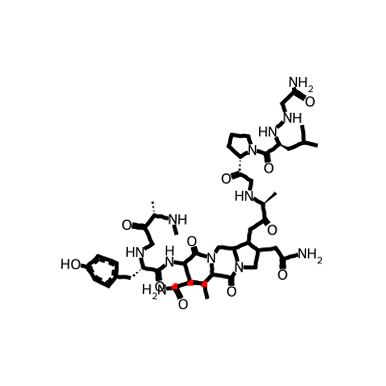 CC[C@H](C)C(NC(=O)[C@H](Cc1ccc(O)cc1)NCC(=O)[C@H](C)NC)C(=O)N1CC2C(CC(=O)[C@H](C)NCC(=O)[C@@H]3CCCN3C(=O)[C@H](CC(C)C)NNCC(N)=O)C(CC(N)=O)CN2C(=O)C1CCC(N)=O